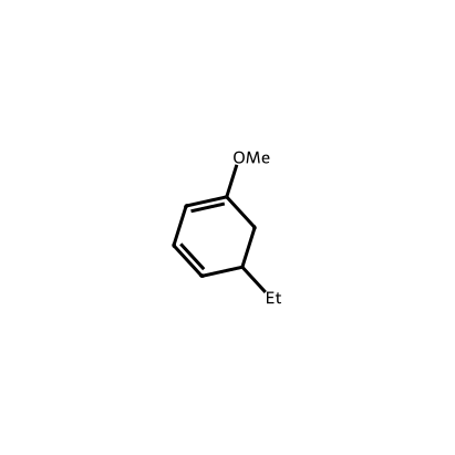 CCC1C=CC=C(OC)C1